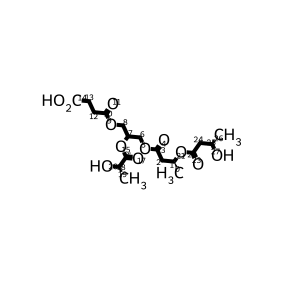 C[C@H](CC(=O)OCC(COC(=O)CCC(=O)O)OC(=O)[C@@H](C)O)OC(=O)C[C@@H](C)O